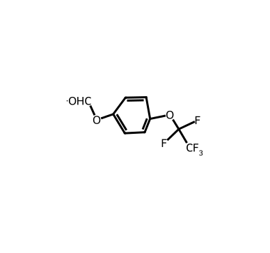 O=[C]Oc1ccc(OC(F)(F)C(F)(F)F)cc1